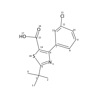 CC(C)(C)c1nc(-c2cccc(Cl)c2)c(C(=O)O)s1